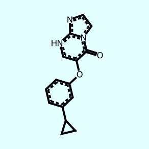 O=c1c(Oc2cccc(C3CC3)c2)c[nH]c2nccn12